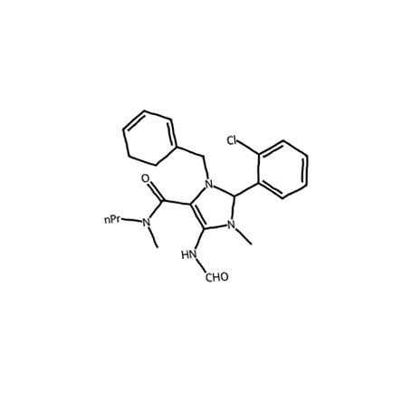 CCCN(C)C(=O)C1=C(NC=O)N(C)C(c2ccccc2Cl)N1CC1=CC=CCC1